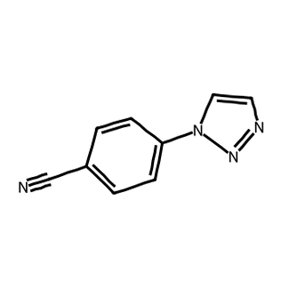 N#Cc1ccc(-n2ccnn2)cc1